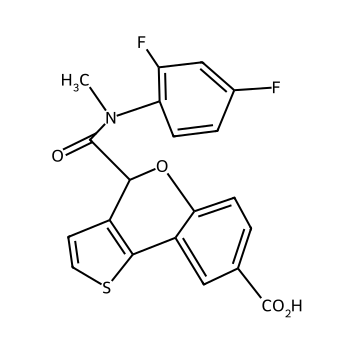 CN(C(=O)C1Oc2ccc(C(=O)O)cc2-c2sccc21)c1ccc(F)cc1F